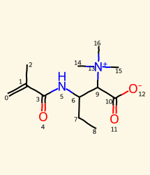 C=C(C)C(=O)NC(CC)C(C(=O)[O-])[N+](C)(C)C